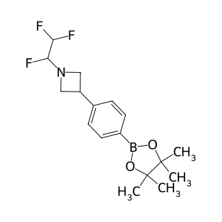 CC1(C)OB(c2ccc(C3CN(C(F)C(F)F)C3)cc2)OC1(C)C